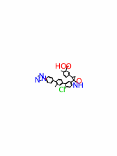 Cc1ccc(C2CC23C(=O)Nc2cc(Cl)c(-c4ccc(-c5ccc(-n6cncn6)cc5)c(C)c4)cc23)cc1C(=O)O